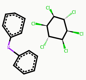 Cl[C@H]1[C@H](Cl)[C@@H](Cl)[C@@H](Cl)[C@H](Cl)[C@H]1Cl.c1ccc([I+]c2ccccc2)cc1